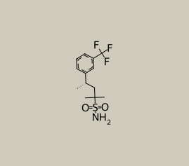 C[C@@H](CC(C)(C)S(N)(=O)=O)c1cccc(C(F)(F)F)c1